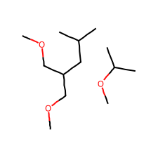 COC(C)C.COCC(COC)CC(C)C